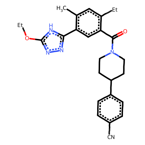 CCOc1nnc(-c2cc(C(=O)N3CCC(c4ccc(C#N)cc4)CC3)c(CC)cc2C)[nH]1